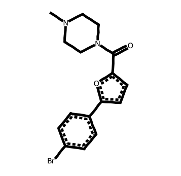 CN1CCN(C(=O)c2ccc(-c3ccc(Br)cc3)o2)CC1